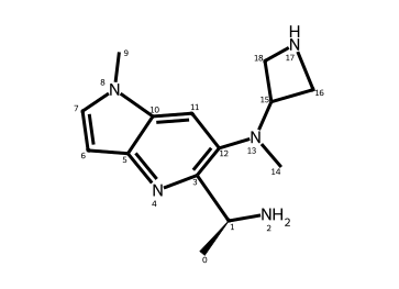 C[C@H](N)c1nc2ccn(C)c2cc1N(C)C1CNC1